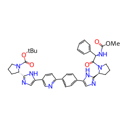 COC(=O)N[C@@H](C(=O)N1CCC[C@H]1c1ncc(-c2ccc(-c3ccc(-c4cnc([C@@H]5CCCN5C(=O)OC(C)(C)C)[nH]4)cn3)cc2)[nH]1)c1ccccc1